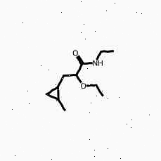 CCNC(=O)C(CC1CC1C)OCC